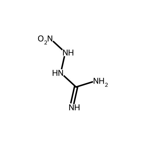 N=C(N)NN[N+](=O)[O-]